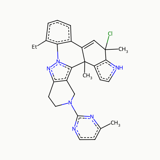 CCc1cccc2c1-n1nc3c(c1C1(C)C2=CC(C)(Cl)c2[nH]ccc21)CN(c1nccc(C)n1)CC3